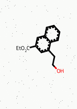 CCOC(=O)c1cc(CCO)c2ccccc2c1